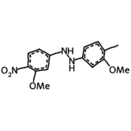 COc1cc(NNc2ccc([N+](=O)[O-])c(OC)c2)ccc1C